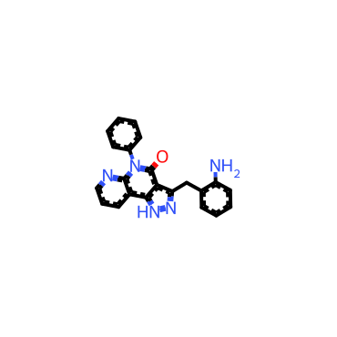 Nc1ccccc1Cc1n[nH]c2c1c(=O)n(-c1ccccc1)c1ncccc21